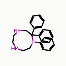 c1ccc(P2CCPCCPCC2(c2ccccc2)c2ccccc2)cc1